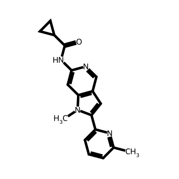 Cc1cccc(-c2cc3cnc(NC(=O)C4CC4)cc3n2C)n1